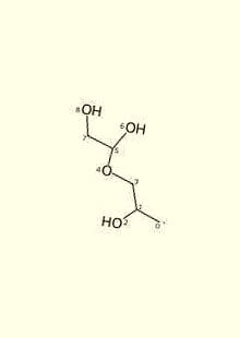 [CH2]C(O)COC(O)CO